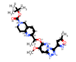 COc1cc2nnc(-c3cc(C)on3)n2nc1OC(C)c1ccc2c(n1)CCN(C(=O)OC(C)(C)C)C2